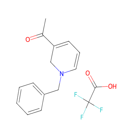 CC(=O)C1=CC=CN(Cc2ccccc2)C1.O=C(O)C(F)(F)F